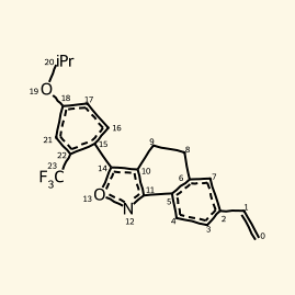 C=Cc1ccc2c(c1)CCc1c-2noc1-c1ccc(OC(C)C)cc1C(F)(F)F